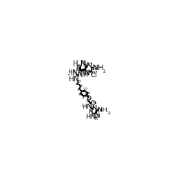 N=C(NCCCCc1ccc(OCC(=O)Nc2nc(N)c3nc[nH]c3n2)cc1)NC(=O)c1nc(Cl)c(N)nc1N